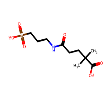 CC(C)(CCC(=O)NCCCS(=O)(=O)O)C(=O)O